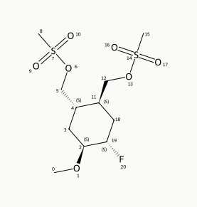 CO[C@H]1C[C@H](COS(C)(=O)=O)[C@@H](COS(C)(=O)=O)C[C@@H]1F